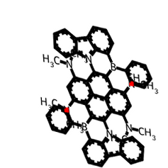 CN(C)c1cc(N(C)C)c2c3c(c4c(N(C)C)cc(N(C)C)c5c6c(c1c2c45)B(c1ccccc1)c1cccc2c4ccccc4n-6c12)B(c1ccccc1)c1cccc2c4ccccc4n-3c12